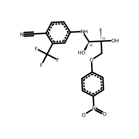 C[C@](O)(COc1ccc([N+](=O)[O-])cc1)[C@@H](O)Nc1ccc(C#N)c(C(F)(F)F)c1